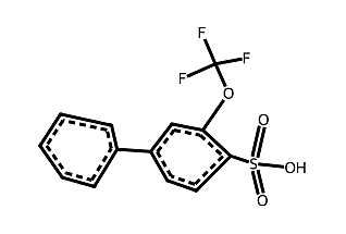 O=S(=O)(O)c1ccc(-c2ccccc2)cc1OC(F)(F)F